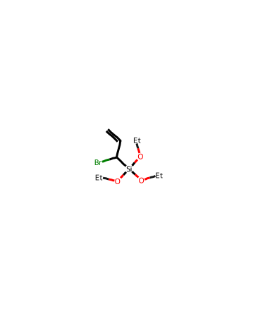 C=CC(Br)[Si](OCC)(OCC)OCC